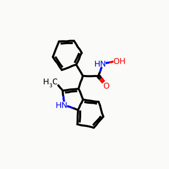 Cc1[nH]c2ccccc2c1C(C(=O)NO)c1ccccc1